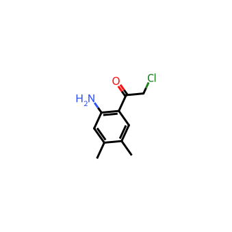 Cc1cc(N)c(C(=O)CCl)cc1C